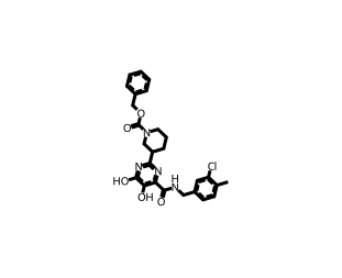 Cc1ccc(CNC(=O)c2nc(C3CCCN(C(=O)OCc4ccccc4)C3)nc(O)c2O)cc1Cl